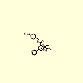 CCCC1(CC)C2CC3(c4ccccc4)C[C@@H]1CC2(C(=S)/N=C/C1CCC(N)CC1)C3